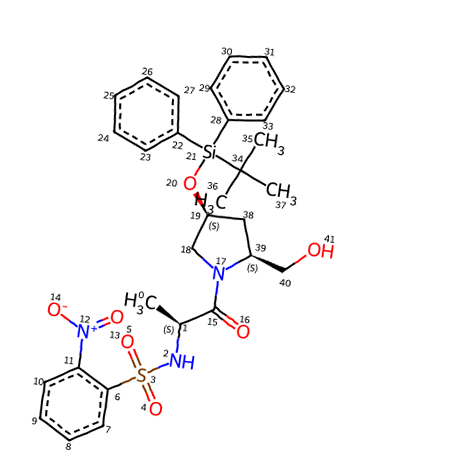 C[C@H](NS(=O)(=O)c1ccccc1[N+](=O)[O-])C(=O)N1C[C@@H](O[Si](c2ccccc2)(c2ccccc2)C(C)(C)C)C[C@H]1CO